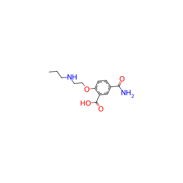 CCCNCCOc1ccc(C(N)=O)cc1C(=O)O